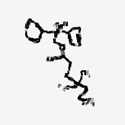 C/C=C/C(C)(C)CCC(=O)OCC(O)(c1ccccc1)c1ccccc1